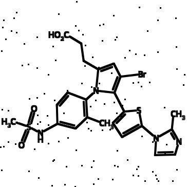 Cc1cc(NS(C)(=O)=O)ccc1-n1c(CCC(=O)O)cc(Br)c1-c1ccc(-n2ccnc2C)s1